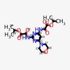 CC(C)OC(=O)C(=O)Nc1cc(N2CCOCC2)nc(NC(=O)C(=O)OC(C)C)n1